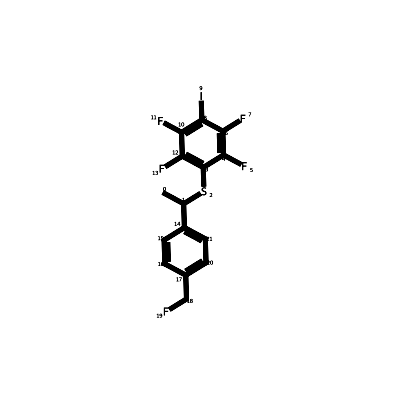 CC(Sc1c(F)c(F)c(I)c(F)c1F)c1ccc(CF)cc1